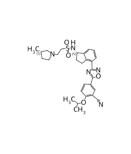 CC(C)Oc1ccc(-c2nc(-c3cccc4c3CC[C@@H]4NS(=O)(=O)CCN3CC[C@H](C)C3)no2)cc1C#N